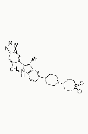 Cc1cc2nnnn2cc1-c1[nH]c2ccc(C3CCN(C4CCS(=O)(=O)CC4)CC3)cc2c1C(C)C